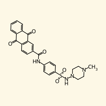 CN1CCN(NS(=O)(=O)c2ccc(NC(=O)c3ccc4c(c3)C(=O)c3ccccc3C4=O)cc2)CC1